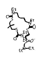 CCN(CC)C[S+]([O-])CCSC(=O)N(CC)CCCCN(CC)C(=O)SCC(C)(C)CSC(=O)N(CC)CC